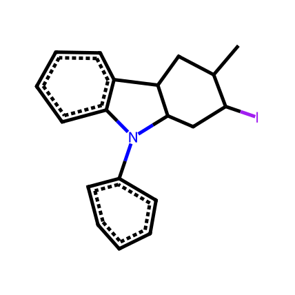 CC1CC2c3ccccc3N(c3ccccc3)C2CC1I